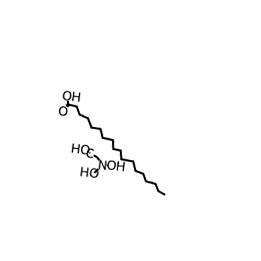 CCCCCCCCCCCCCCCCCC(=O)O.OCCN(O)O